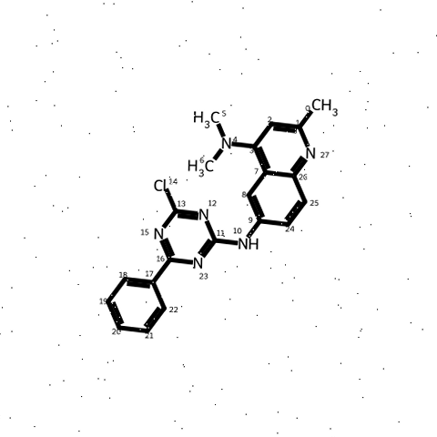 Cc1cc(N(C)C)c2cc(Nc3nc(Cl)nc(-c4ccccc4)n3)ccc2n1